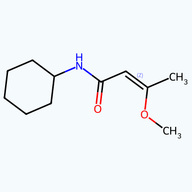 CO/C(C)=C\C(=O)NC1CCCCC1